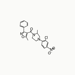 Cc1onc(-c2ccccc2)c1C(=O)N1CCN(c2ccc([N+](=O)[O-])cc2Cl)CC1C